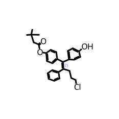 CC(C)(C)CC(=O)Oc1ccc(/C(=C(/CCCCl)c2ccccc2)c2ccc(O)cc2)cc1